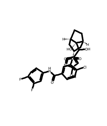 Cn1cc(C(O)[C@@]2(O)[C@@H]3CC[C@H]2C[C@H](S(=O)(=O)c2cc(C(=O)Nc4ccc(F)c(F)c4)ccc2Cl)C3)cn1